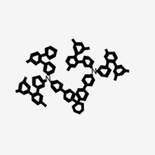 Cc1cc(C)cc(-c2ccc(C)cc2-c2cccc(N(c3ccc(-c4ccc(C5(c6ccc(-c7ccc(N(c8cccc(-c9cc(C)ccc9-c9cc(C)cc(C)c9)c8)c8cccc(-c9cc(C)ccc9-c9cc(C)cc(C)c9)c8)cc7)cc6)CCCCC5)cc4)cc3)c3cccc(-c4cc(C)ccc4-c4ccccc4)c3)c2)c1